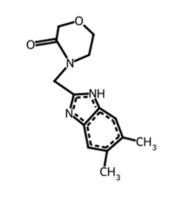 Cc1cc2nc(CN3CCOCC3=O)[nH]c2cc1C